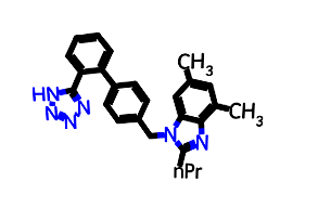 CCCc1nc2c(C)cc(C)cc2n1Cc1ccc(-c2ccccc2-c2nnn[nH]2)cc1